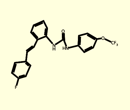 O=C(Nc1ccc(OC(F)(F)F)cc1)Nc1ccccc1C=Cc1ccc(F)cc1